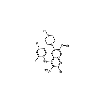 CCOc1cc2nc(CC)c(C(=O)O)c(Nc3ccc(F)cc3F)c2cc1N1CCN(C(C)C)CC1